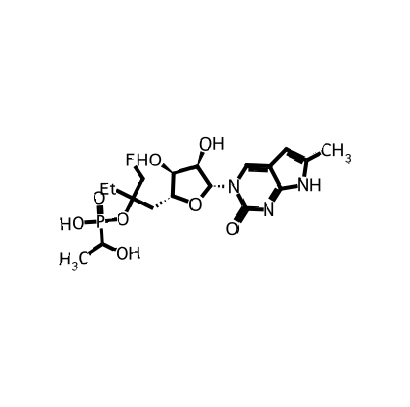 CCC(CF)(C[C@H]1O[C@@H](n2cc3cc(C)[nH]c3nc2=O)[C@H](O)[C@@H]1O)OP(=O)(O)C(C)O